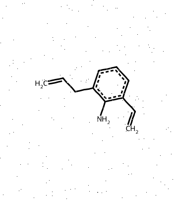 C=CCc1cccc(C=C)c1N